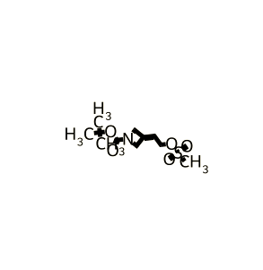 CC(C)(C)OC(=O)N1CC(=CCOS(C)(=O)=O)C1